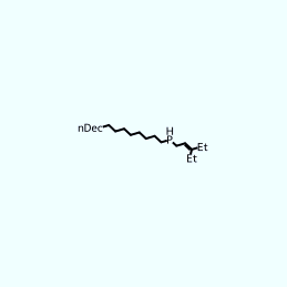 CCCCCCCCCCCCCCCCCCPCC=C(CC)CC